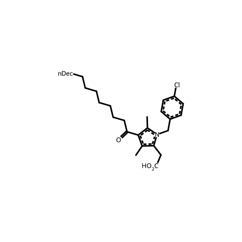 CCCCCCCCCCCCCCCCCC(=O)c1c(C)c(CC(=O)O)n(Cc2ccc(Cl)cc2)c1C